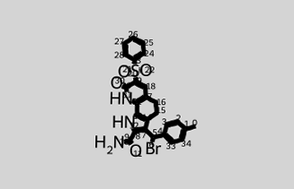 Cc1ccc(C(Br)c2c(C(N)=O)[nH]c3c2CCc2cc(S(=O)(=O)c4ccccc4)c(=O)[nH]c2-3)cc1